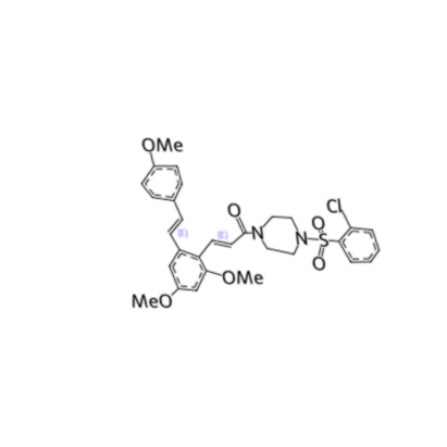 COc1ccc(/C=C/c2cc(OC)cc(OC)c2/C=C/C(=O)N2CCN(S(=O)(=O)c3ccccc3Cl)CC2)cc1